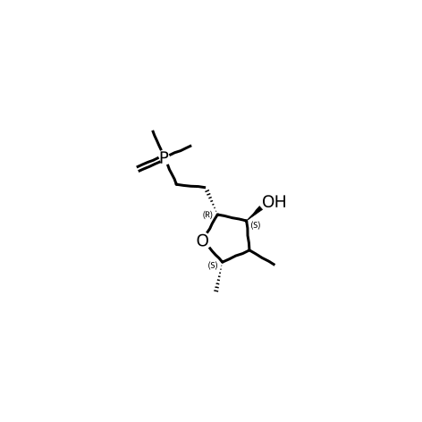 C=P(C)(C)CC[C@H]1O[C@@H](C)C(C)[C@@H]1O